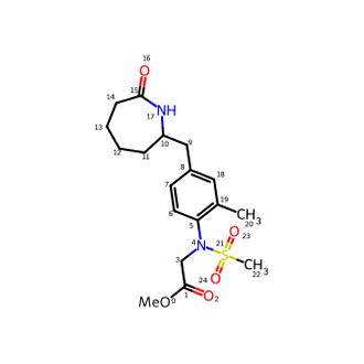 COC(=O)CN(c1ccc(CC2CCCCC(=O)N2)cc1C)S(C)(=O)=O